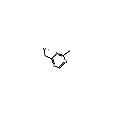 Cc1ncnc(CN)n1